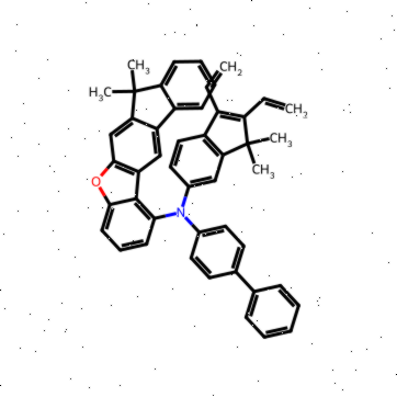 C=CC1=C(C=C)C(C)(C)c2cc(N(c3ccc(-c4ccccc4)cc3)c3cccc4oc5cc6c(cc5c34)-c3ccccc3C6(C)C)ccc21